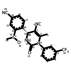 [C-]#[N+]C1=C(C)N(c2cccc(C(F)(F)F)c2)C(=O)N[C@@H]1c1ccc(C#N)cc1[S+](C)[O-]